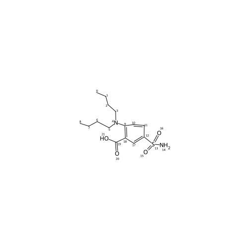 CCCCN(CCCC)c1ccc(S(N)(=O)=O)cc1C(=O)O